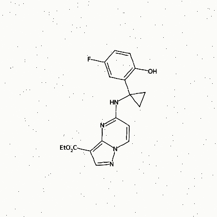 CCOC(=O)c1cnn2ccc(NC3(c4cc(F)ccc4O)CC3)nc12